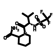 CC(C)[C@H](NS(=O)(=O)C(F)(F)F)C(=O)N1CCCCC1C(N)=O